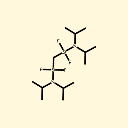 CC(C)N(C(C)C)[Si](F)(F)C[Si](F)(F)N(C(C)C)C(C)C